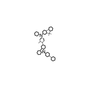 CC1C=C(N(c2ccccc2)c2ccc3c(c2)C(C)(C)c2ccccc2-3)C=CC1c1ccc2c(c1)c1ccccc1n2-c1ccc(-c2ccccc2)cc1